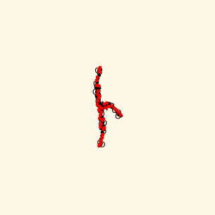 C=CC(=O)OCCCCCCOc1ccc(OC(=O)C2CCC(COc3ccc4c5ccc(OCC6CCC(C(=O)Oc7ccc(OCCCCCCOC(=O)C=C)cc7)CC6)cc5c5nc6cc(OCCOCCOC(=O)C=C)ccc6nc5c4c3)CC2)cc1